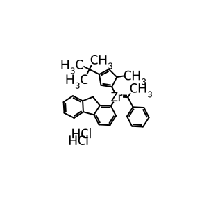 C/[C](c1ccccc1)=[Zr](\[C]1=CC(C(C)(C)C)=CC1C)[c]1cccc2c1Cc1ccccc1-2.Cl.Cl